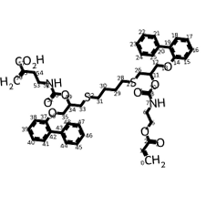 C=CC(=O)OCCNC(=O)OC(COc1ccccc1-c1ccccc1)CSCCCCSCC(COc1ccccc1-c1ccccc1)OC(=O)NCCC(=C)C(=O)O